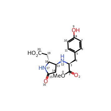 COC(=O)[C@H](Cc1ccc(O)cc1)N[C@H]1CC(=O)N[C@@H]1CC(=O)O